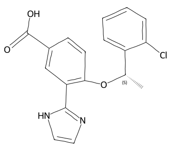 C[C@H](Oc1ccc(C(=O)O)cc1-c1ncc[nH]1)c1ccccc1Cl